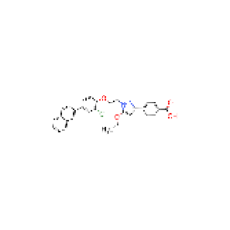 CCOc1cc(-c2ccc(C(=O)O)cc2)nn1CCOc1ccc(-c2ccc3ccccc3c2)cc1Cl